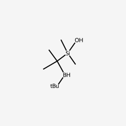 CC(C)(C)BC(C)(C)[Si](C)(C)O